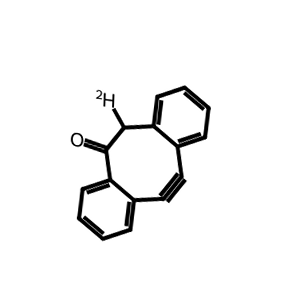 [2H]C1C(=O)c2ccccc2C#Cc2ccccc21